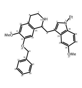 CCn1cc(CC2NCCc3cc(OC)c(OCc4ccccc4)cc32)c2cc(OC)ccc21